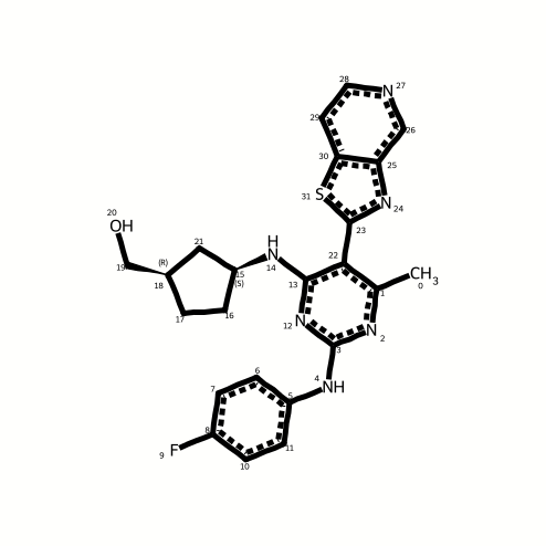 Cc1nc(Nc2ccc(F)cc2)nc(N[C@H]2CC[C@@H](CO)C2)c1-c1nc2cnccc2s1